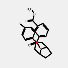 COC(=O)c1cccc(C(=O)N2C3CCC2CC(c2ccc(F)cc2)C3)c1